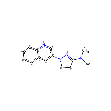 CC(=O)N(C)C1=NN(c2cnc3ccccc3c2)CC1